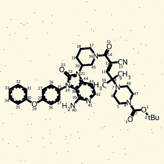 CC(C)(C)OC(=O)N1CCN(C(C)(C)C=C(C#N)C(=O)N2CCCC(n3c(=O)n(-c4ccc(Oc5ccccc5)cc4)c4c(N)nccc43)C2)CC1